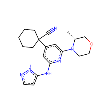 C[C@@H]1COCCN1c1cc(C2(C#N)CCCCC2)cc(Nc2ccn[nH]2)n1